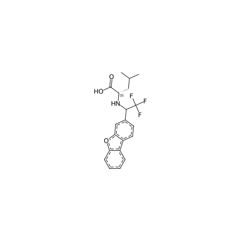 CC(C)C[C@H](NC(c1ccc2c(c1)oc1ccccc12)C(F)(F)F)C(=O)O